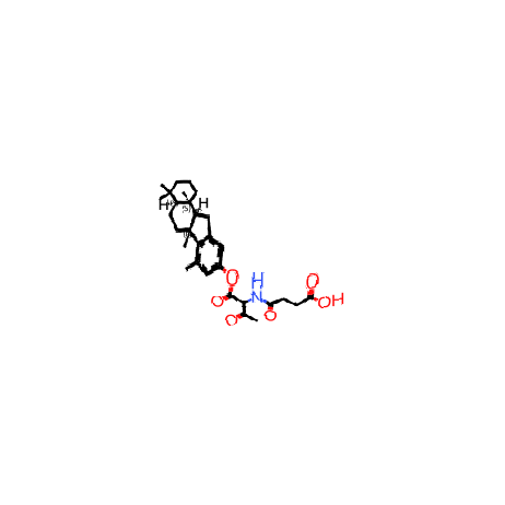 CC(=O)C(NC(=O)CCC(=O)O)C(=O)Oc1cc(C)c2c(c1)C[C@@H]1[C@@]3(C)CCCC(C)(C)[C@@H]3CC[C@@]21C